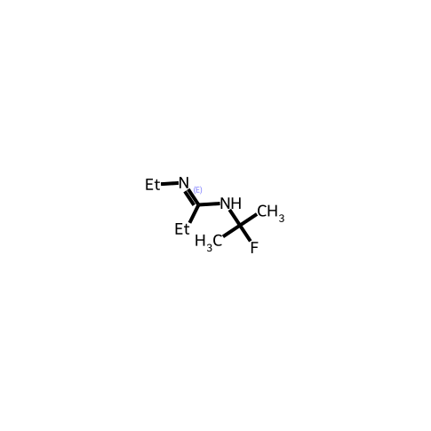 CC/N=C(\CC)NC(C)(C)F